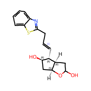 OC1C[C@@H]2[C@@H](/C=C/Cc3nc4ccccc4s3)[C@H](O)C[C@@H]2O1